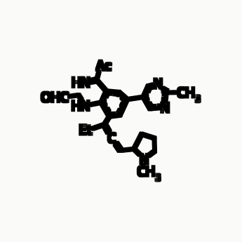 CCC(=C=CC1CCCN1C)c1cc(-c2cnc(C)nc2)cc(C(=N)C(C)=O)c1NCC=O